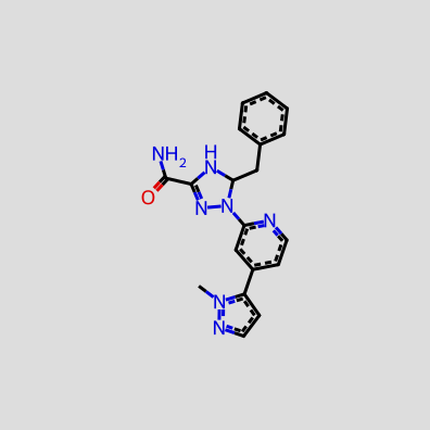 Cn1nccc1-c1ccnc(N2N=C(C(N)=O)NC2Cc2ccccc2)c1